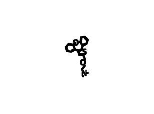 CN(C)CCOCc1cc2c(s1)-c1ccccc1Oc1ccccc1-2